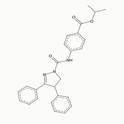 CC(C)OC(=O)c1ccc(NC(=O)N2CC(c3ccccc3)C(c3ccccc3)=N2)cc1